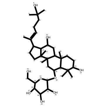 CC(=CCCC(C)(C)O)C1CCC2(C)C1C(O)CC1C3(C)CCC(O)C(C)(C)C3C(OC3OC(CO)C(O)C(O)C3O)CC12C